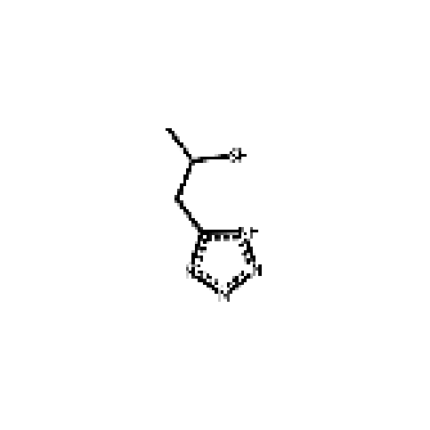 CC(S)Cc1nnn[nH]1